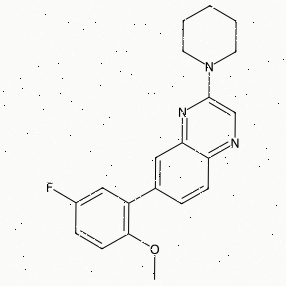 COc1ccc(F)cc1-c1ccc2ncc(N3CCCCC3)nc2c1